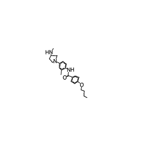 CCCCOc1ccc(C(=O)Nc2ccc(N3CCC(NC)C3)cc2C)cc1